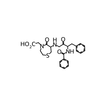 O=C(O)CN1CCSCC(NCC(=O)C(Cc2ccccc2)NC(=O)c2ccccc2)C1=O